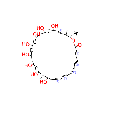 CC(C)C1OC(=O)/C=C/C=C/C=C/C=C/C=C/CC(O)C(C)C(O)CC(O)CC(O)CC(O)CC(O)CC(O)CC(O)/C=C/C1C